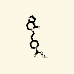 CC(C)(C)OC(=O)N1CCC(CCN2CCc3sccc3C2=O)CC1